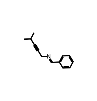 CC(C)C#CCN=Cc1ccccc1